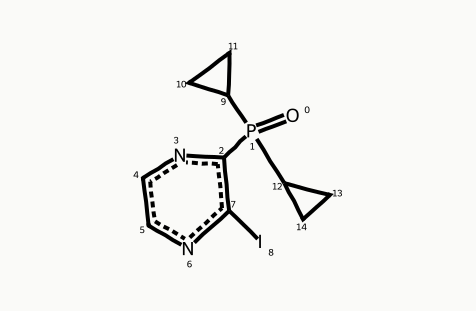 O=P(c1nccnc1I)(C1CC1)C1CC1